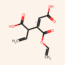 C=COC(=O)/C(=C\C(=O)O)C(C=C)C(=O)O